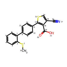 CSc1ccccc1-c1ccc(-c2scc(C#N)c2C(=O)O)cc1